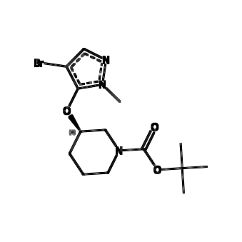 Cn1ncc(Br)c1O[C@@H]1CCCN(C(=O)OC(C)(C)C)C1